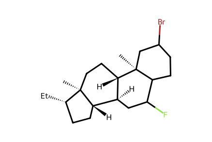 CC[C@H]1CC[C@H]2[C@@H]3CC(F)C4CCC(Br)C[C@]4(C)[C@H]3CC[C@]12C